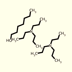 CCCCCCCO.CCCN(CCC)CCC.CCCN(CCC)CCC